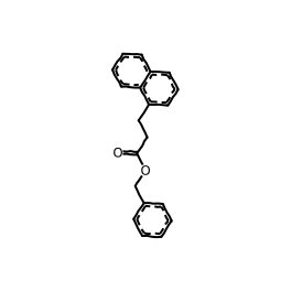 O=C(CCc1cccc2ccccc12)OCc1ccccc1